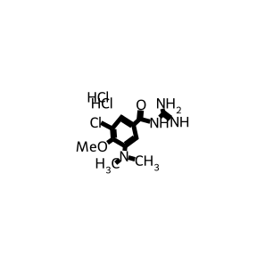 COc1c(Cl)cc(C(=O)NC(=N)N)cc1N(C)C.Cl.Cl